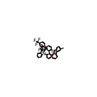 Cc1ccc2c(c1)c1ccccc1n2-c1ccc(-c2ccc(C(F)(F)F)cc2C(F)(F)F)cc1-c1c(C#N)cccc1-n1c2ccccc2c2cc(C)ccc21